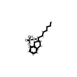 CCCCCCCCCc1c2cccc1OP(=O)(O)OOCC2